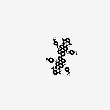 COc1ccc(Oc2cc3c4c(cc(Oc5ccc(C=O)cc5)c5c6cccc7c(-c8ccc9c%10c(Oc%11ccc(OC)cc%11)cc%11c%12c(cc(Oc%13ccc(C=O)cc%13)c(c%13cccc8c%139)c%12%10)C(=O)N(c8c(C(C)C)cccc8C(C)C)C%11=O)ccc(c2c45)c76)C(=O)N(c2c(C(C)C)cccc2C(C)C)C3=O)cc1